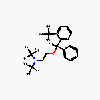 [2H]C([2H])([2H])c1ccccc1C([2H])(OCCN(C([2H])([2H])[2H])C([2H])([2H])[2H])c1ccccc1